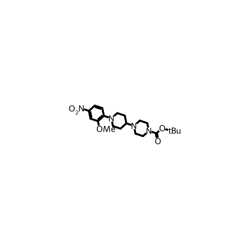 COc1cc([N+](=O)[O-])ccc1N1CCC(N2CCN(C(=O)OC(C)(C)C)CC2)CC1